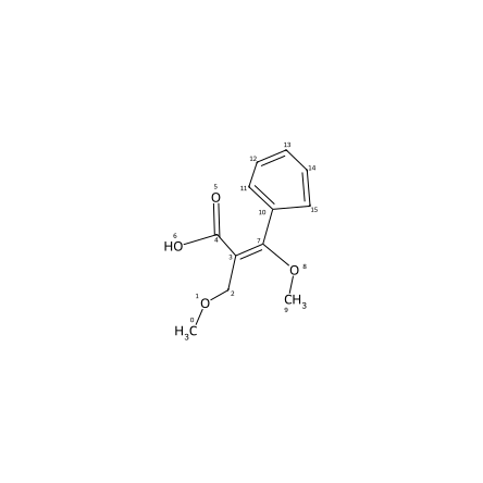 COCC(C(=O)O)=C(OC)c1ccccc1